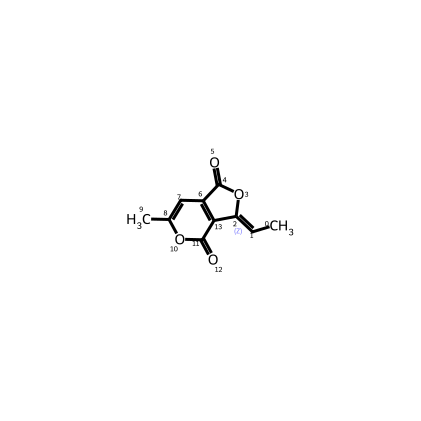 C/C=C1\OC(=O)c2cc(C)oc(=O)c21